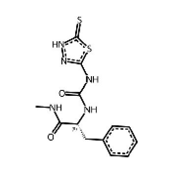 CNC(=O)[C@@H](Cc1ccccc1)NC(=O)Nc1n[nH]c(=S)s1